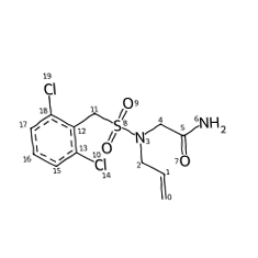 C=CCN(CC(N)=O)S(=O)(=O)Cc1c(Cl)cccc1Cl